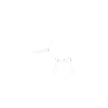 COC(=O)n1cccn1